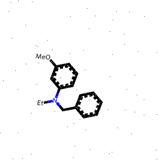 CCN(Cc1ccccc1)c1cccc(OC)c1